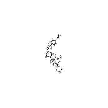 N#Cc1ccc(C(F)(F)Oc2ccc3c(c2)CN2C(=O)CN(C4CCCCC4)C(=O)[C@H]2C3)nc1